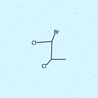 CC(Cl)C(Cl)Br